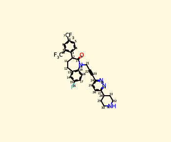 O=C1C(c2ccc(C(F)(F)F)cc2C(F)(F)F)CCc2cc(F)ccc2N1CC#Cc1ccc(C2CCNCC2)nn1